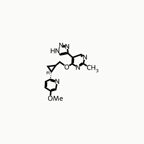 COc1ccc([C@@H]2CC2COc2nc(C)ncc2-c2c[nH]nn2)nc1